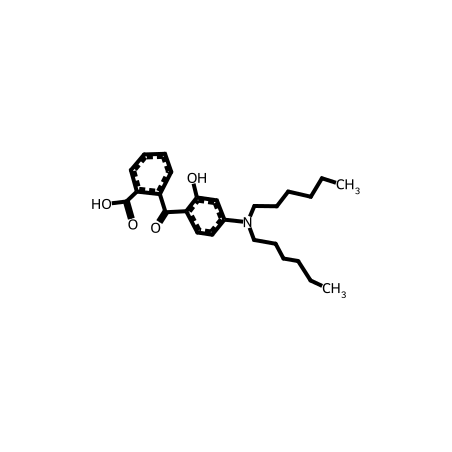 CCCCCCN(CCCCCC)c1ccc(C(=O)c2ccccc2C(=O)O)c(O)c1